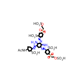 CC(=O)Nc1ccc(/N=N/c2cc(/N=N/c3ccc(S(=O)(=O)CCOS(=O)(=O)O)cc3S(=O)(=O)O)c(N)c(/N=N/c3ccc(S(=O)(=O)CCOS(=O)(=O)O)cc3S(=O)(=O)O)c2N)c(S(=O)(=O)O)c1